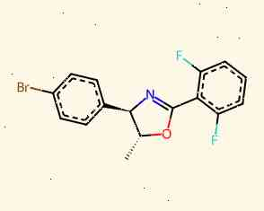 C[C@H]1OC(c2c(F)cccc2F)=N[C@@H]1c1ccc(Br)cc1